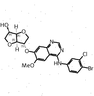 COc1cc2c(Nc3ccc(Br)c(Cl)c3)ncnc2cc1O[C@H]1CO[C@H]2[C@@H]1OC[C@H]2O